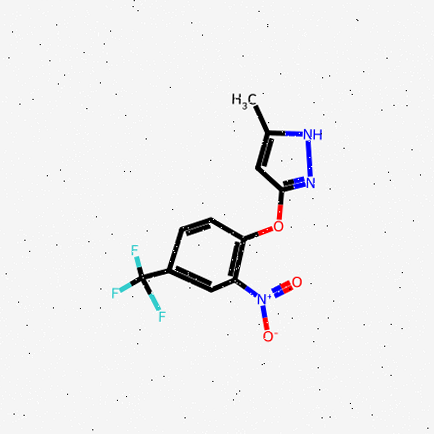 Cc1cc(Oc2ccc(C(F)(F)F)cc2[N+](=O)[O-])n[nH]1